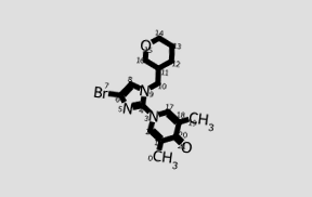 Cc1cn(-c2nc(Br)cn2CC2CCCOC2)cc(C)c1=O